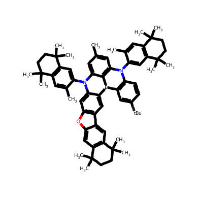 Cc1cc2c3c(c1)N(c1cc4c(cc1C)C(C)(C)CCC4(C)C)c1cc4oc5cc6c(cc5c4cc1B3c1cc(C(C)(C)C)ccc1N2c1cc2c(cc1C)C(C)(C)CCC2(C)C)C(C)(C)CCC6(C)C